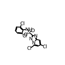 O=S(=O)(Nc1c(Cl)cccc1Cl)c1nc2cc(Cl)cc(Cl)n2n1